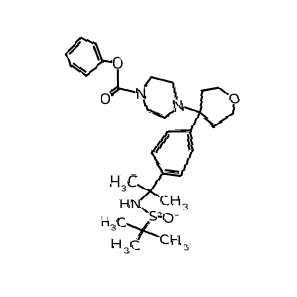 CC(C)(N[S+]([O-])C(C)(C)C)c1ccc(C2(N3CCN(C(=O)Oc4ccccc4)CC3)CCOCC2)cc1